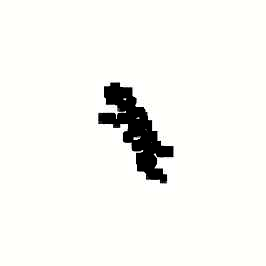 CC(Sc1nnn[nH]1)C1=C(C(=O)O)N2C(=O)[C@@H](NC(=O)C(=NO)c3cc(N)sn3)[C@@H]2SC1